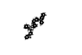 c1ccc(-c2nc(-c3ccc4sc5ccccc5c4c3)nc(-c3cccc4c3oc3ccc5ccc(-n6c7ccccc7c7cc8ccccc8cc76)cc5c34)n2)cc1